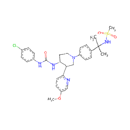 COc1ccc(C2CN(c3ccc(C(C)(C)NS(C)(=O)=O)cc3)CCC2NC(=O)Nc2ccc(Cl)cc2)nc1